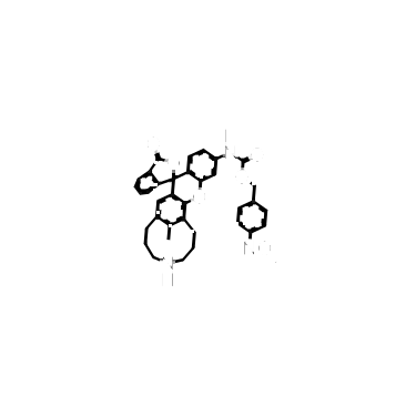 Cc1c2cc3c(c1CCCNCCC2)Oc1cc(NC(=O)OCc2ccc([N+](=O)[O-])cc2)ccc1C31OC(=O)c2ccccc21